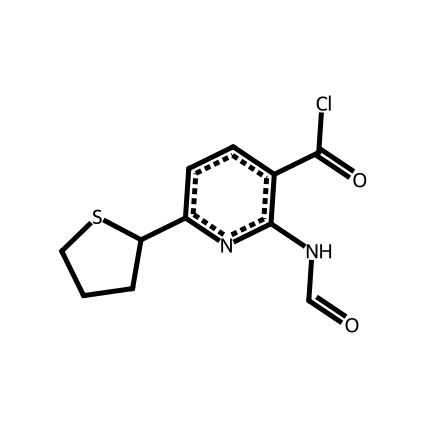 O=CNc1nc(C2CCCS2)ccc1C(=O)Cl